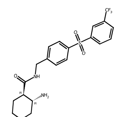 N[C@@H]1CCCC[C@H]1C(=O)NCc1ccc(S(=O)(=O)c2cccc(C(F)(F)F)c2)cc1